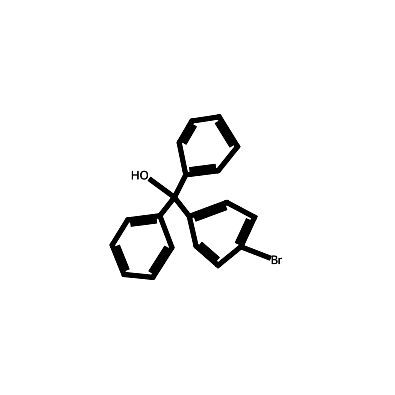 OC(c1ccccc1)(c1ccccc1)c1ccc(Br)cc1